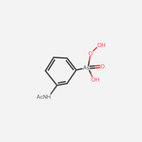 CC(=O)Nc1cccc([As](=O)(O)OO)c1